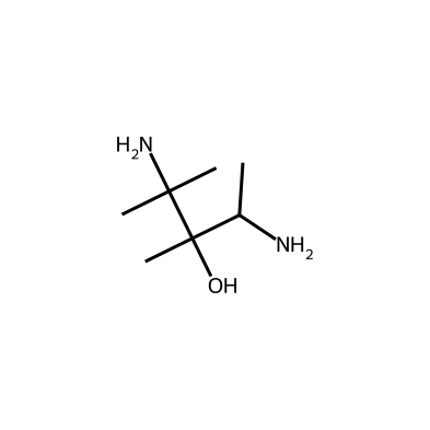 CC(N)C(C)(O)C(C)(C)N